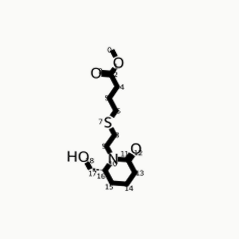 COC(=O)CCCSCCN1C(=O)CCC[C@@H]1CO